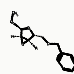 CO[C@H]1O[C@H](COCc2ccccc2)[C@H]2O[C@@H]12